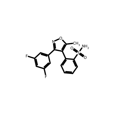 Cc1onc(-c2cc(F)cc(F)c2)c1-c1ccccc1S(N)(=O)=O